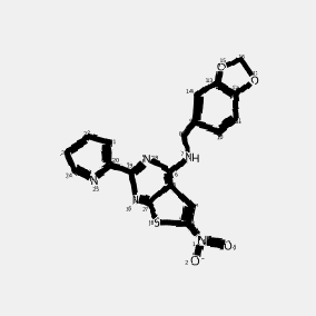 O=[N+]([O-])c1cc2c(NCc3ccc4c(c3)OCO4)nc(-c3ccccn3)nc2s1